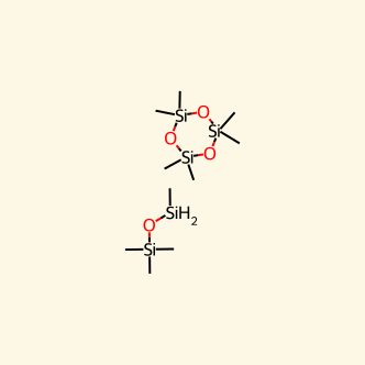 C[SiH2]O[Si](C)(C)C.C[Si]1(C)O[Si](C)(C)O[Si](C)(C)O1